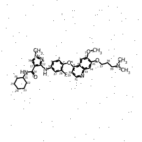 COc1cc2c(Oc3ccc(Nc4nn(C)cc4C(=O)NC4CCCCC4)cc3F)ccnc2cc1OCCCN(C)C